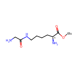 CC(C)(C)OC(=O)[C@@H](N)CCCCNC(=O)CN